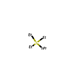 CCCS(CC)(CC)CC